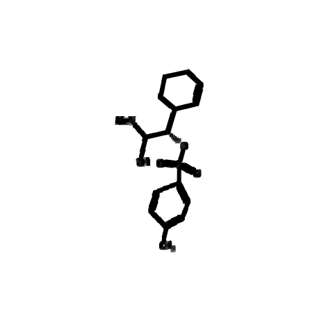 CNC(O)[C@@H](OS(=O)(=O)c1ccc(C)cc1)C1C=CCCC1